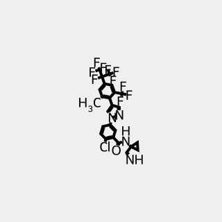 Cc1cc(C(F)(C(F)(F)F)C(F)(F)F)cc(C(F)(F)F)c1-c1cnn(-c2ccc(Cl)c(C(=O)NC3(C=N)CC3)c2)c1